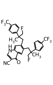 CC(CF)(Cc1cc2[nH]cc(C#N)c(=O)c2cc1CC(C)(CF)c1ccc(C(F)(F)F)cc1)c1ccc(C(F)(F)F)cc1